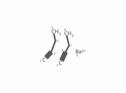 [Ba+2].[C-]#CCC.[C-]#CCC